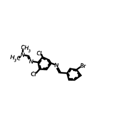 CN(C)C=Nc1c(Cl)cc(N=Cc2cccc(Br)c2)cc1Cl